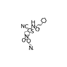 CN(C)CCOC(=O)N1CCc2c(sc(NC(=O)C=Cc3ccccc3)c2C#N)C1